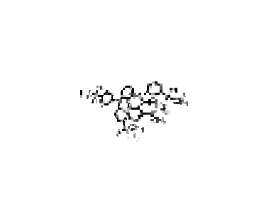 CC(C)c1cccc(C(C)C)c1-c1nc2c(C(C)(C)C)cccc2n1-c1cccc(N(c2ccc(C(C)(C)C)cc2)c2ccc(C(C)(C)C)cc2)c1Br